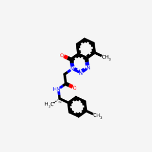 Cc1ccc([C@H](C)NC(=O)Cn2nnc3c(C)cccc3c2=O)cc1